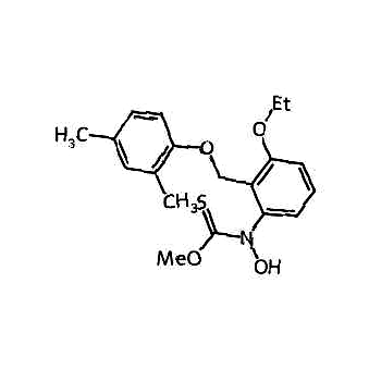 CCOc1cccc(N(O)C(=S)OC)c1COc1ccc(C)cc1C